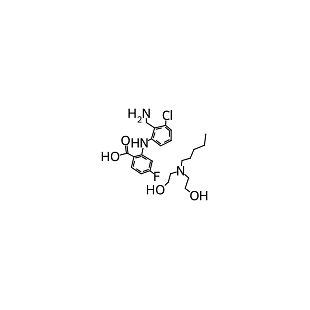 CCCCCN(CCO)CCO.NCc1c(Cl)cccc1Nc1cc(F)ccc1C(=O)O